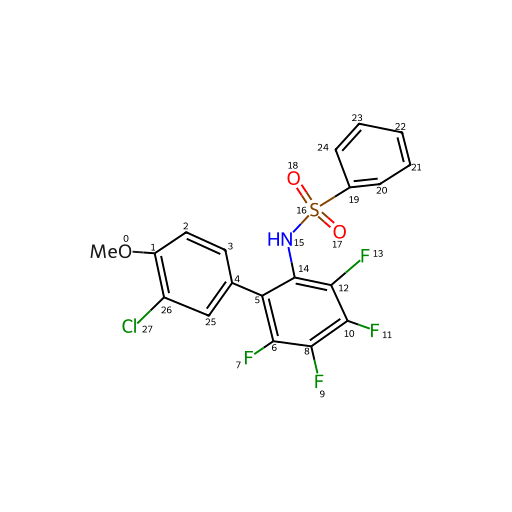 COc1ccc(-c2c(F)c(F)c(F)c(F)c2NS(=O)(=O)c2ccccc2)cc1Cl